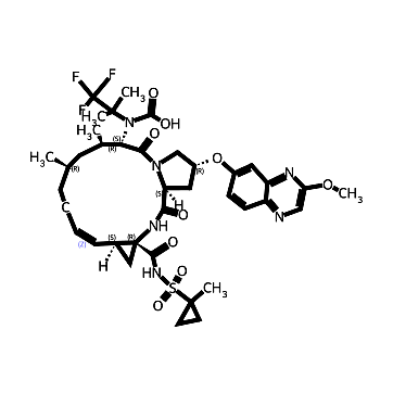 COc1cnc2ccc(O[C@@H]3C[C@H]4C(=O)N[C@]5(C(=O)NS(=O)(=O)C6(C)CC6)C[C@H]5/C=C\CC[C@@H](C)C[C@@H](C)[C@H](N(C(=O)O)C(C)(C)C(F)(F)F)C(=O)N4C3)cc2n1